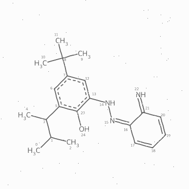 CC(C)C(C)c1cc(C(C)(C)C)cc(N/N=C2/C=CC=CC2=N)c1O